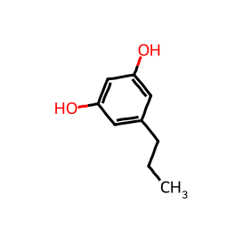 CCCc1cc(O)cc(O)c1